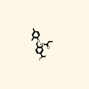 CCC(=O)Nc1cc(C(F)F)ccc1COc1ccc(C)cc1C